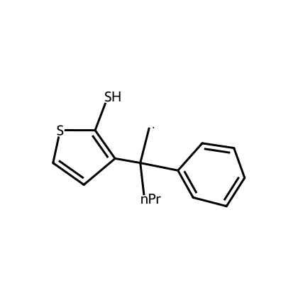 [CH2]C(CCC)(c1ccccc1)c1ccsc1S